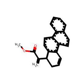 C=C(C(=O)OC)C1CC=Cc2c1ccc1c2ccc2ccccc21